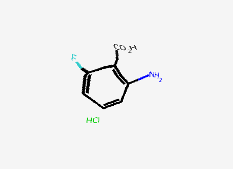 Cl.Nc1cccc(F)c1C(=O)O